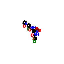 CN(C1CC(C(=O)Nc2ccc(-n3ccccc3=O)cc2F)C[C@@H]1NC(=O)c1ccc(Cl)s1)S(C)(=O)=O